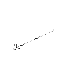 C=C(C)C(=O)OCCC[CH]CCCCCCCCCCCCCCC